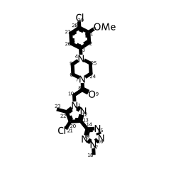 COc1cc(N2CCN(C(=O)Cn3nc(-c4nnn(C)n4)c(Cl)c3C)CC2)ccc1Cl